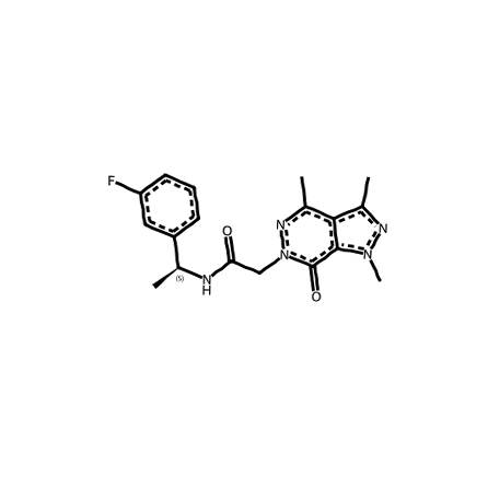 Cc1nn(CC(=O)N[C@@H](C)c2cccc(F)c2)c(=O)c2c1c(C)nn2C